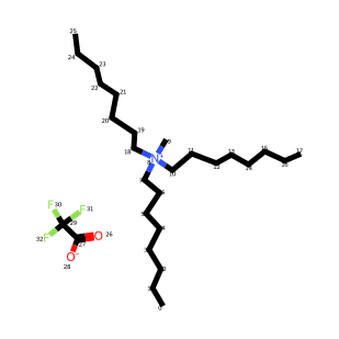 CCCCCCCC[N+](C)(CCCCCCCC)CCCCCCCC.O=C([O-])C(F)(F)F